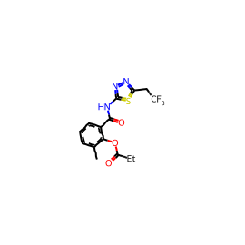 CCC(=O)Oc1c(C)cccc1C(=O)Nc1nnc(CC(F)(F)F)s1